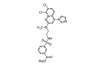 COC(=O)c1cccc(S(=O)(=O)NCCN(C)c2cc(-n3ccnc3)c3ccc(Cl)c(Cl)c3n2)c1